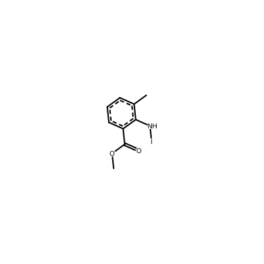 COC(=O)c1cccc(C)c1NI